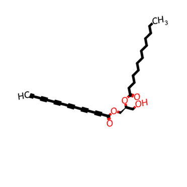 C#CC#CC#CC#CC#CC#CC(=O)OC[C@H](CO)OC(=O)CCCCCCCCCCCC